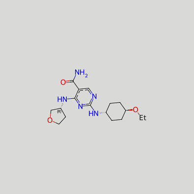 CCO[C@H]1CC[C@H](Nc2ncc(C(N)=O)c(N[C@@H]3CCOC3)n2)CC1